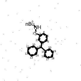 CCCCNSc1cccc(C(c2ccccc2)c2ccccc2)c1